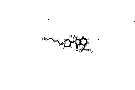 CCCCCN1CCC(N2C(=O)c3c(C(N)=O)cccc3C2C)CC1